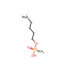 CNCCCCOP(C)(=O)O